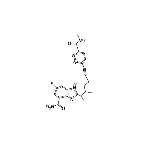 CNC(=O)c1ccc(C#CCCC(C)C(C)c2nc3c(C(N)=O)cc(F)cc3[nH]2)nn1